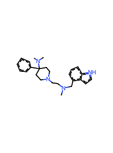 CN(CCN1CCC(c2ccccc2)(N(C)C)CC1)Cc1cccc2[nH]ccc12